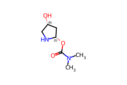 CN(C)C(=O)O[C@H]1C[C@@H](O)CN1